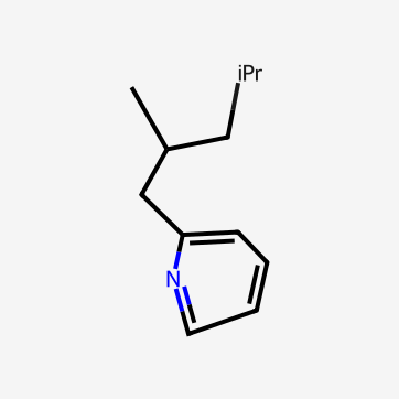 CC(C)CC(C)Cc1ccccn1